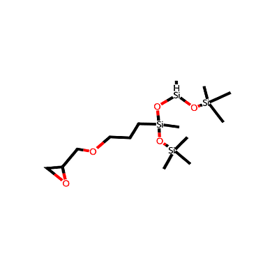 C[SiH](O[Si](C)(C)C)O[Si](C)(CCCOCC1CO1)O[Si](C)(C)C